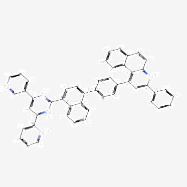 c1ccc(-c2cc(-c3ccc(-c4ccc(-c5nc(-c6cccnc6)cc(-c6ccccn6)n5)c5ccccc45)cc3)c3c(ccc4ccccc43)n2)cc1